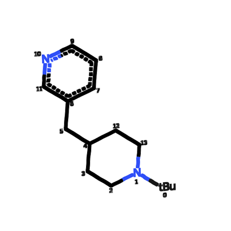 CC(C)(C)N1CCC(Cc2cccnc2)CC1